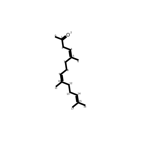 CC(=O)CC=C(C)CCC=C(C)CCC=C(C)C